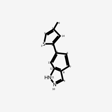 Cc1csc(-c2ccc3cn[nH]c3c2)c1